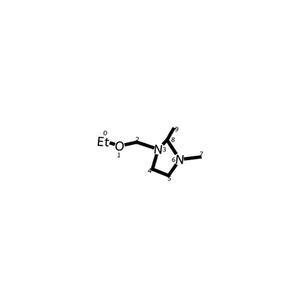 CCOCN1CCN(C)C1C